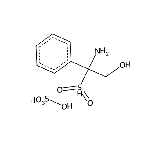 NC(CO)(c1ccccc1)[SH](=O)=O.O=S(=O)(O)O